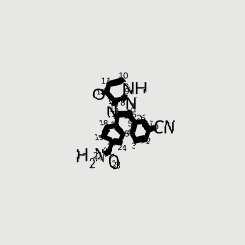 N#Cc1cccc(-c2nc3[nH]ccc(=O)c3nc2-c2ccc(C(N)=O)cc2)c1